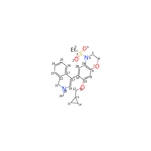 CCS(=O)(=O)N1CCOc2cc(OCC3CC3)c(C3=CN(C)Cc4ccccc43)cc21